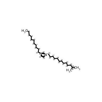 CCCCCCCCCCCn1cc[n+](CCCCCCCCCCCC(C)C)c1